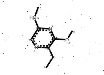 CCc1ncc(NC)nc1OC